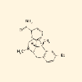 CCc1ccc2c(c1)[C@@]1(C)CCCN(C)C(C2)[C@@H]1c1cccc(C(N)=O)c1